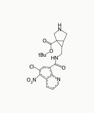 CC(C)(C)OC(=O)C12CNCC1C2CNC(=O)c1cc(Cl)c([N+](=O)[O-])c2cccnc12